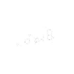 COc1cc(Cn2nc(C)c(NC(=O)c3cc(C)nc4ccc(C)cc34)c2C)cc(OC)c1